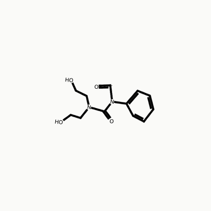 O=[C]N(C(=O)N(CCO)CCO)c1ccccc1